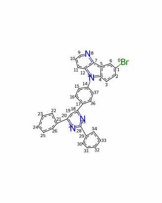 Brc1ccc2c(c1)c1ncccc1n2-c1ccc(-c2cc(-c3ccccc3)nc(-c3ccccc3)n2)cc1